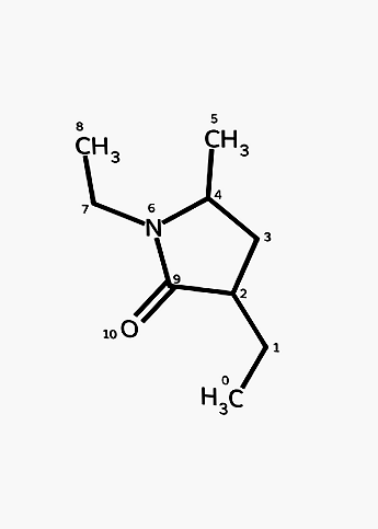 CCC1CC(C)N(CC)C1=O